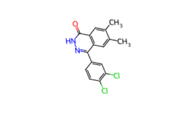 Cc1cc2c(-c3ccc(Cl)c(Cl)c3)n[nH]c(=O)c2cc1C